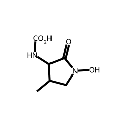 CC1CN(O)C(=O)C1NC(=O)O